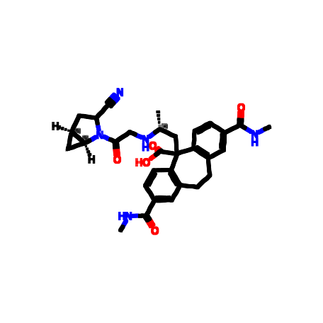 CNC(=O)c1ccc2c(c1)CCc1cc(C(=O)NC)ccc1C2(C[C@@H](C)NCC(=O)N1C(C#N)C[C@@H]2C[C@@H]21)C(=O)O